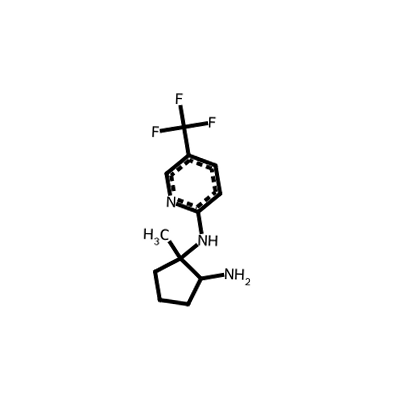 CC1(Nc2ccc(C(F)(F)F)cn2)CCCC1N